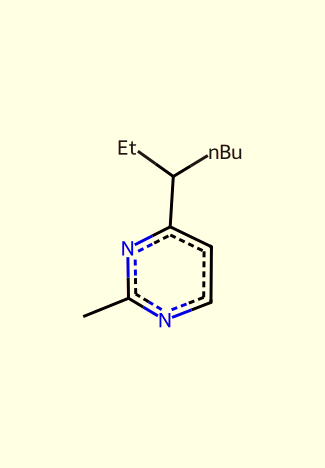 CCCCC(CC)c1ccnc(C)n1